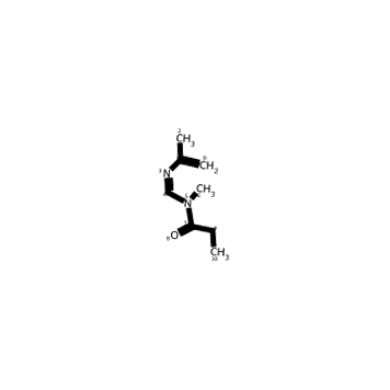 C=C(C)/N=C\N(C)C(=O)CC